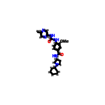 COc1cc(C(=O)N[C@@H]2CCN(C3CCCCC3)C2)ccc1NC(=O)Nc1cnc(C)cn1